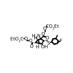 CCOC(=O)OCOC(=O)[C@H]1[C@@H]2[C@H](O)[C@@H](CSc3ccc(F)c(C)c3)[C@@](N)(C(=O)OCOC(=O)OCC)[C@H]12